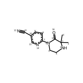 CC1(C)NCCN(c2ccc(C#N)cn2)C1=O